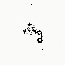 CC(C)(C)OC(=O)NN(C(=O)OC(C)(C)C)C1CC2(CCN(Cc3ccccc3)C2)C1